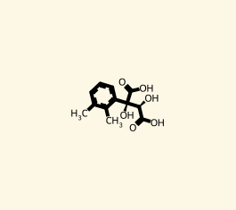 Cc1cccc([C@](O)(C(=O)O)[C@@H](O)C(=O)O)c1C